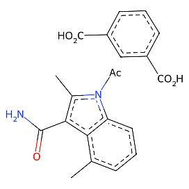 CC(=O)n1c(C)c(C(N)=O)c2c(C)cccc21.O=C(O)c1cccc(C(=O)O)c1